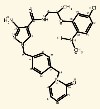 CC(CNC(=O)c1cn(Cc2ccc(Cn3ccccc3=O)cc2)nc1N)Oc1cc(Cl)ccc1N(C)I